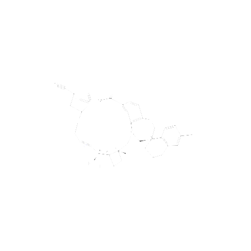 N#CCCC1CC/C=C/[C@H](O)[C@@H]2CC[C@H]2CN2C[C@@]3(CCCc4cc(Cl)ccc43)COc3ccc(cc32)C(=O)NS1(=O)=O